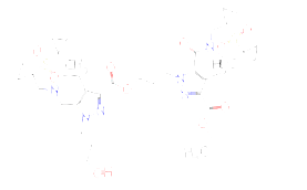 CCOC(=O)c1nn(CCCOC(=O)c2nn(CCCO)c3c2CCN(CC2(S(=O)(=O)C4(C)CC4)CC2)C3)c2c1CCN(CC1(S(=O)(=O)C3(C)CC3)CC1)C2=O